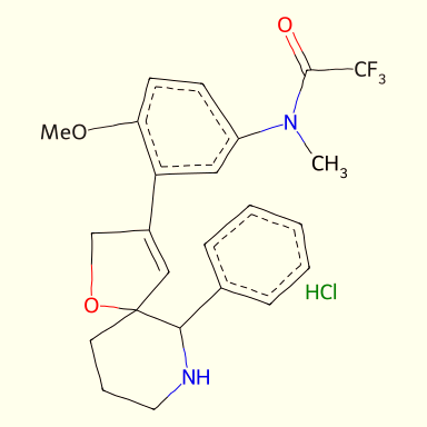 COc1ccc(N(C)C(=O)C(F)(F)F)cc1C1=CC2(CCCNC2c2ccccc2)OC1.Cl